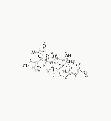 COC(=O)O[C@]1(C(=O)OCCl)[C@H](C)C[C@H]2[C@@H]3CCC4=CC(=O)C=C[C@]4(C)[C@@]3(F)[C@@H](O)C[C@@]21C